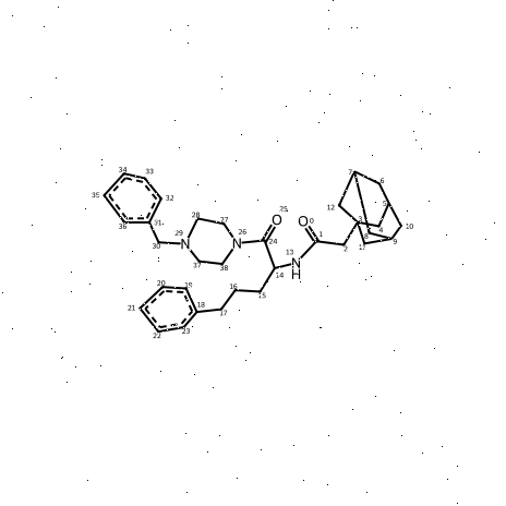 O=C(CC12CC3CC(CC(C3)C1)C2)NC(CCCc1ccccc1)C(=O)N1CCN(Cc2ccccc2)CC1